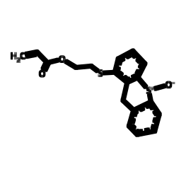 C=CC(=O)OCCSc1cccc2c1Cc1ccccc1[S+]2[O-]